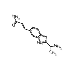 C[C@@H](N)c1nc2ccc(/C=C/C(N)=O)cc2[nH]1